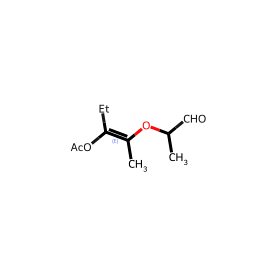 CC/C(OC(C)=O)=C(/C)OC(C)C=O